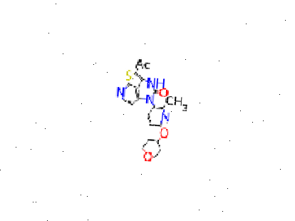 CC(=O)c1sc2nccc3c2c1NC(=O)N3c1ccc(OC2CCOCC2)nc1C